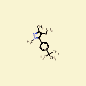 CCc1c(C)nn(C)c1-c1ccc(C(C)(C)C)cc1